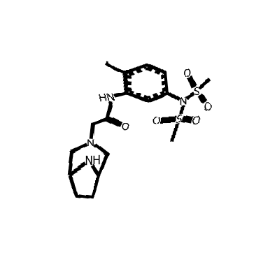 Cc1ccc(N(S(C)(=O)=O)S(C)(=O)=O)cc1NC(=O)CN1CC2CCC(C1)N2